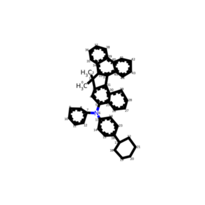 CC1(C)c2cc(N(c3ccccc3)c3ccc(C4CCCCC4)cc3)c3ccccc3c2-c2c1c1ccccc1c1ccccc21